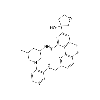 CC1CC(N)CN(c2ccncc2NCc2ccc(F)c(-c3c(F)cc(C4(O)CCOC4)cc3F)n2)C1